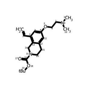 C=Cc1cc(OCCN(C)C)cc2c1CN(C(=O)OC(C)(C)C)CC2